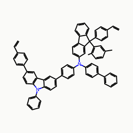 C=Cc1ccc(-c2ccc3c(c2)c2cc(-c4ccc(N(c5ccc(-c6ccccc6)cc5)c5ccc6c(c5)C(c5ccc(C=C)cc5)(c5cc(C)ccc5C)c5ccccc5-6)cc4)ccc2n3-c2ccccc2)cc1